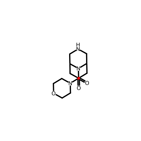 O=C1CC2CNCC(C1)N2C(=O)N1CCOCC1